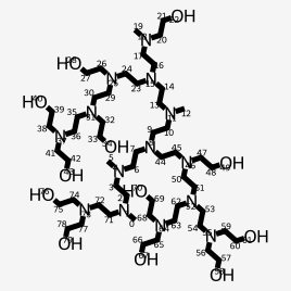 CN(CCN(C)CCN(CCN(C)CCN(CCN(C)CCO)CCN(CCO)CCN(CCO)CCN(CCO)CCO)CCN(CCO)CCN(CCN(CCO)CCO)CCN(CCO)CCO)CCN(CCO)CCO